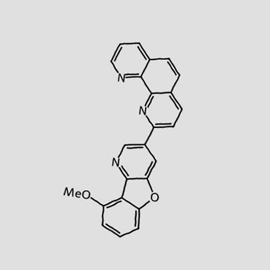 COc1cccc2oc3cc(-c4ccc5ccc6cccnc6c5n4)cnc3c12